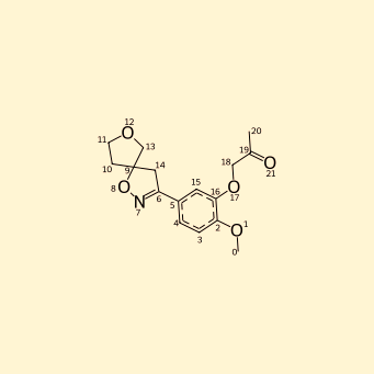 COc1ccc(C2=NOC3(CCOC3)C2)cc1OCC(C)=O